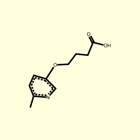 Cc1ccc(OCCCC(=O)O)cn1